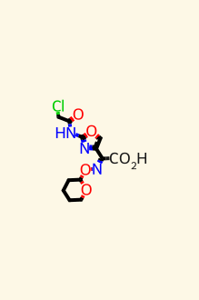 O=C(CCl)Nc1nc(C(=NOC2CCCCO2)C(=O)O)co1